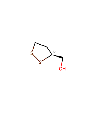 OC[C@@H]1CCSS1